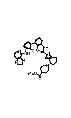 COC(=O)C1CCN([C@H]2CCCn3nc(C(=O)Nc4cccc(-c5cccc(Nc6nccc7nccnc67)c5Cl)c4Cl)cc32)CC1